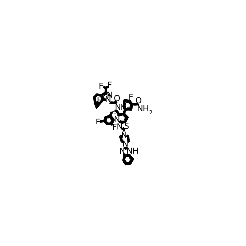 NC(=O)c1cc(-c2cc3sc(N4CCN(c5nc6ccccc6[nH]5)CC4)nc3nc2[C@H](Cc2cc(F)cc(F)c2)NC(=O)Cn2nc(C(F)F)c3c2C2C[C@H]2CC3)ccc1F